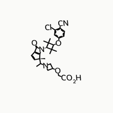 CC(N1CC(OCC(=O)O)C1)[C@]1(C)C=CC2=C1N([C@H]1C(C)(C)[C@H](Oc3ccc(C#N)c(Cl)c3)C1(C)C)C2=O